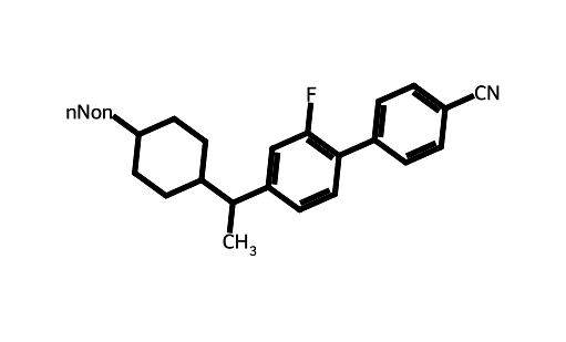 CCCCCCCCCC1CCC(C(C)c2ccc(-c3ccc(C#N)cc3)c(F)c2)CC1